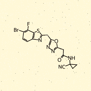 N#CC1(NC(=O)Cc2nnc(Cc3nc4ccc(Br)c(F)c4s3)o2)CC1